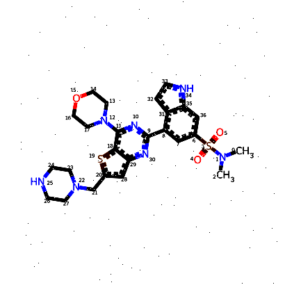 CN(C)S(=O)(=O)c1cc(-c2nc(N3CCOCC3)c3sc(CN4CCNCC4)cc3n2)c2cc[nH]c2c1